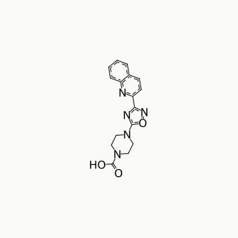 O=C(O)N1CCN(c2nc(-c3ccc4ccccc4n3)no2)CC1